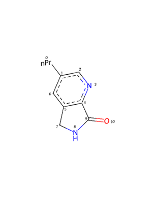 CCCc1cnc2c(c1)CNC2=O